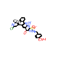 Cc1cc(-c2cc3c(=O)cc([S+]([O-])NCc4ccc(O)cc4)[nH]c3nc2-c2ccccc2)cc(Cl)n1